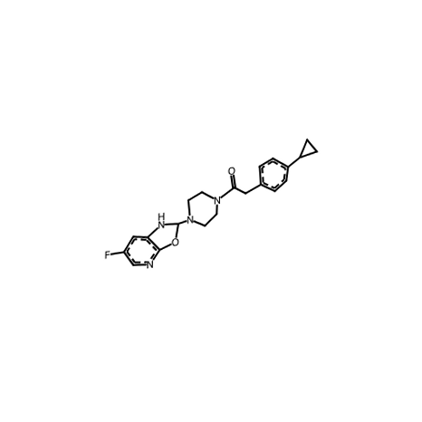 O=C(Cc1ccc(C2CC2)cc1)N1CCN(C2Nc3cc(F)cnc3O2)CC1